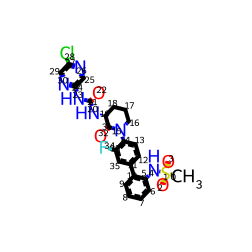 CS(=O)(=O)Nc1ccccc1-c1ccc(N2CCC[C@@H](NC(=O)Nc3cnc(Cl)cn3)C2=O)c(F)c1